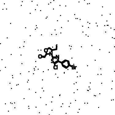 CCC1COC(C=O)N1c1nc(-c2ccc(Br)cc2)c(Cl)s1